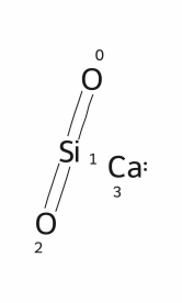 O=[Si]=O.[Ca]